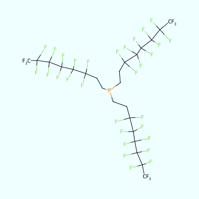 FC(F)(F)C(F)(F)C(F)(F)C(F)(F)C(F)(F)C(F)(F)CCP(CCC(F)(F)C(F)(F)C(F)(F)C(F)(F)C(F)(F)C(F)(F)F)CCC(F)(F)C(F)(F)C(F)(F)C(F)(F)C(F)(F)C(F)(F)F